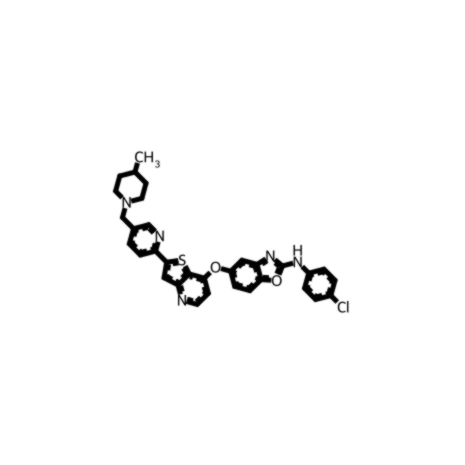 CC1CCN(Cc2ccc(-c3cc4nccc(Oc5ccc6oc(Nc7ccc(Cl)cc7)nc6c5)c4s3)nc2)CC1